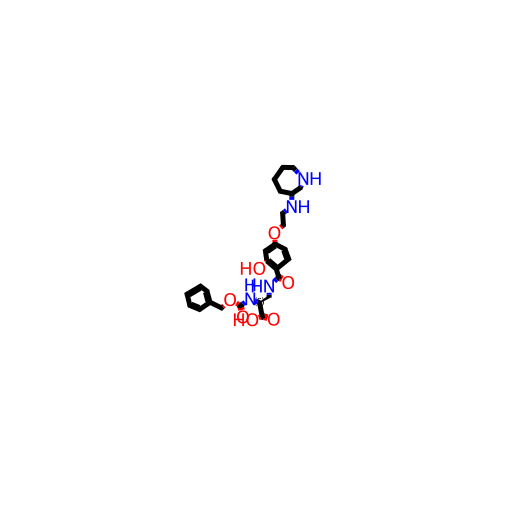 O=C(N[C@@H](CNC(=O)c1ccc(OCCNC2CCCCNC2)cc1O)C(=O)O)OCc1ccccc1